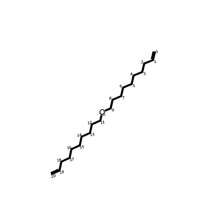 C=CCCCCCCCCOCCCCCCCCC=C